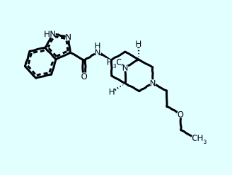 CCOCCN1C[C@H]2C[C@@H](NC(=O)c3n[nH]c4ccccc34)C[C@@H](C1)N2C